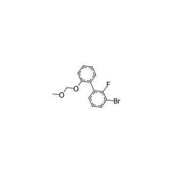 COCOc1ccccc1-c1cccc(Br)c1F